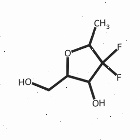 CC1OC(CO)C(O)C1(F)F